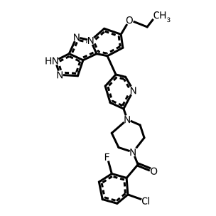 CCOc1cc(-c2ccc(N3CCN(C(=O)c4c(F)cccc4Cl)CC3)nc2)c2c3cn[nH]c3nn2c1